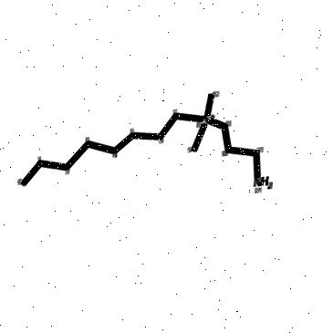 CCCCCCCC[N+](C)(C)CCCN